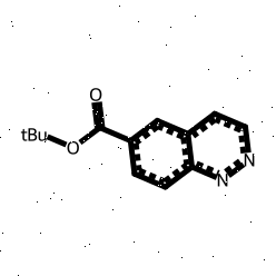 CC(C)(C)OC(=O)c1ccc2nnccc2c1